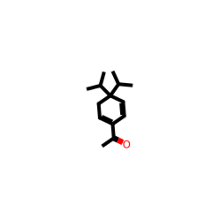 CC(=O)C1=CCC(C(C)C)(C(C)C)C=C1